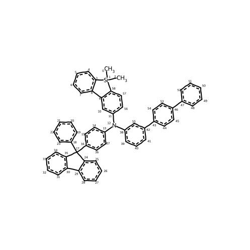 C[Si]1(C)c2ccccc2-c2cc(N(c3ccc(C4(c5ccccc5)c5ccccc5-c5ccccc54)cc3)c3cccc(-c4ccc(-c5ccccc5)cc4)c3)ccc21